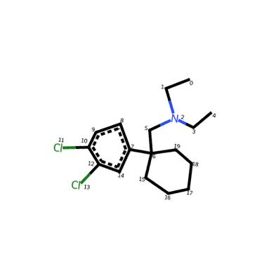 CCN(CC)CC1(c2ccc(Cl)c(Cl)c2)CCCCC1